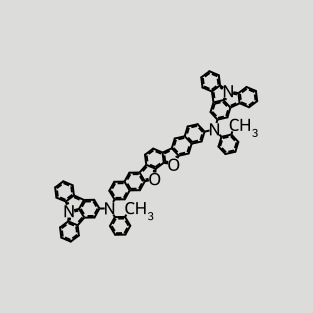 Cc1ccccc1N(c1ccc2cc3c(cc2c1)oc1c3ccc2c3cc4ccc(N(c5cc6c7ccccc7n7c8ccccc8c(c5)c67)c5ccccc5C)cc4cc3oc21)c1cc2c3ccccc3n3c4ccccc4c(c1)c23